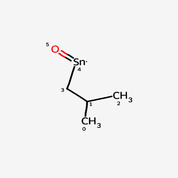 CC(C)[CH2][Sn]=[O]